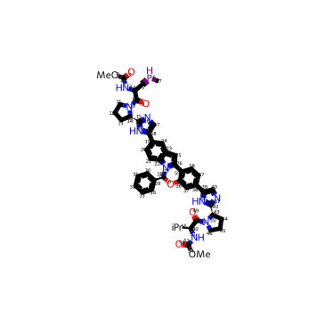 COC(=O)NC(C#[PH]C)C(=O)N1CCC[C@H]1c1ncc(-c2ccc3c(c2)cc2n3[C@H](c3ccccc3)Oc3cc(-c4cnc([C@@H]5CCCN5C(=O)[C@@H](NC(=O)OC)C(C)C)[nH]4)ccc3-2)[nH]1